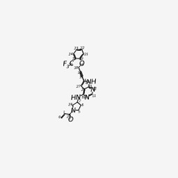 C=CC(=O)N1CCC(Nc2ncnc3[nH]c(C#CCOc4ccccc4C(F)(F)F)cc23)C1